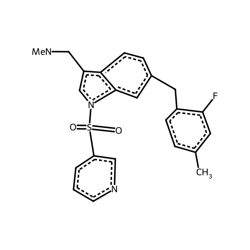 CNCc1cn(S(=O)(=O)c2cccnc2)c2cc(Cc3ccc(C)cc3F)ccc12